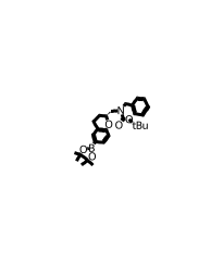 CC(C)(C)OC(=O)N(Cc1ccccc1)C[C@H]1CCc2cc(B3OC(C)(C)C(C)(C)O3)ccc2O1